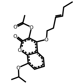 CCC=CCCOc1c(OC(C)=O)c(=O)oc2c(OC(C)C)cccc12